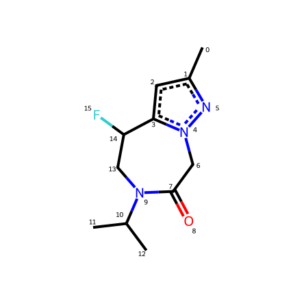 Cc1cc2n(n1)CC(=O)N(C(C)C)CC2F